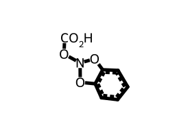 O=C(O)ON1Oc2ccccc2O1